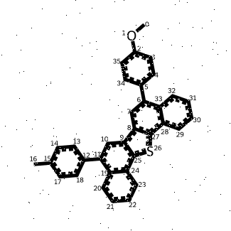 COc1ccc(-c2cc3c4cc(-c5ccc(C)cc5)c5ccccc5c4sc3c3ccccc23)cc1